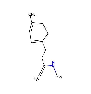 C=C(CCC1=CC=C(C)CC1)NCCC